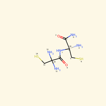 NC(=O)[C@@](N)(CS)NC(=O)C(N)(N)CS